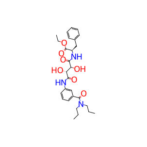 CCCN(CCC)C(=O)c1cccc(NC(=O)[C@H](O)C(O)C(=O)N[C@H](Cc2ccccc2)C(=O)OCC)c1